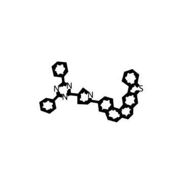 c1ccc(-c2nc(-c3ccccc3)nc(-c3ccc(-c4ccc5c(ccc6ccc7cc8sc9ccccc9c8cc7c65)c4)nc3)n2)cc1